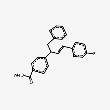 COC(=O)c1ccc(C(C=Cc2ccc(F)cc2)Cc2ccccc2)cc1